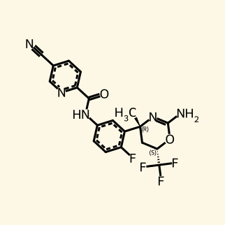 C[C@]1(c2cc(NC(=O)c3ccc(C#N)cn3)ccc2F)C[C@@H](C(F)(F)F)OC(N)=N1